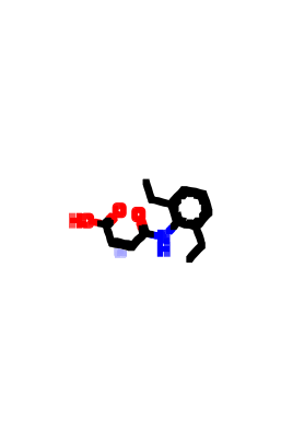 CCc1cccc(CC)c1NC(=O)/C=C\C(=O)O